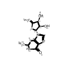 C=C1O[C@@H](n2cnc3c(=O)[nH]c(C)nc32)[C@H](O)[C@@H]1O